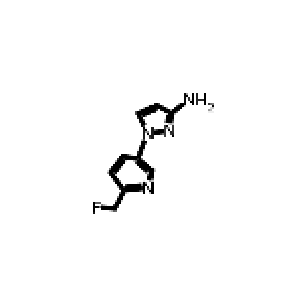 Nc1ccn(-c2ccc(CF)nc2)n1